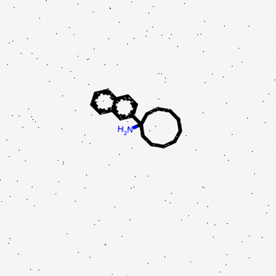 NC1(c2ccc3ccccc3c2)CCCCCCCCC1